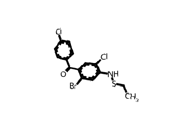 CCSNc1cc(Br)c(C(=O)c2ccc(Cl)cc2)cc1Cl